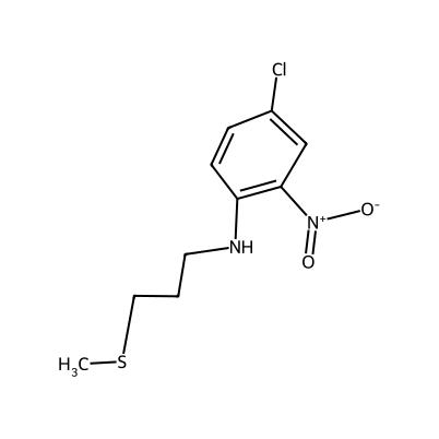 CSCCCNc1ccc(Cl)cc1[N+](=O)[O-]